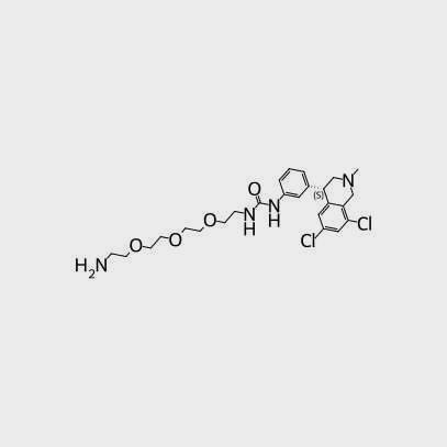 CN1Cc2c(Cl)cc(Cl)cc2[C@H](c2cccc(NC(=O)NCCOCCOCCOCCN)c2)C1